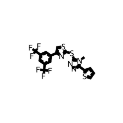 Cn1c(Sc2nc(-c3cc(C(F)(F)F)cc(C(F)(F)F)c3)cs2)nnc1-c1cccs1